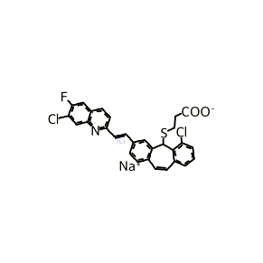 O=C([O-])CCSC1c2cc(/C=C/c3ccc4cc(F)c(Cl)cc4n3)ccc2C=Cc2cccc(Cl)c21.[Na+]